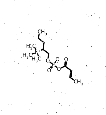 CC=CC(=O)OP(=O)([O-])OCC(CCC)[N+](C)(C)C